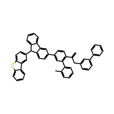 C=C(Cc1cccc(-c2ccccc2)c1)c1ccc(-c2ccc3c(c2)-c2ccccc2C3c2ccc3sc4ccccc4c3c2)cc1-c1ccccc1C